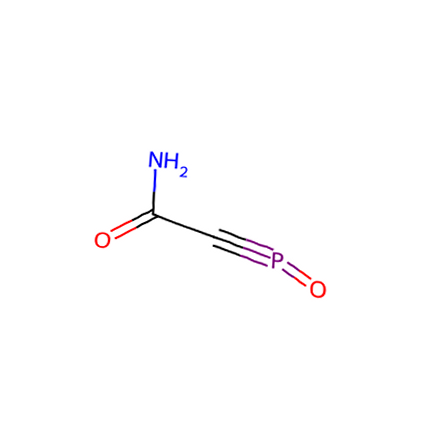 NC(=O)C#P=O